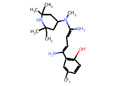 CN(/C(N)=C/C=C(\N)c1cc(C(F)(F)F)ccc1O)C1CC(C)(C)NC(C)(C)C1